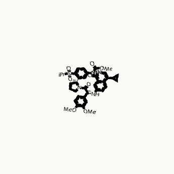 COC(=O)Nc1ccc(S(=O)(=O)C(C)C)c([C@H]2CCCN2C(=O)[C@H](Nc2ccc3c(C4CC4)c[nH]c(=O)c3c2)c2ccc(OC)c(OC)c2)c1